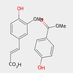 COC(=O)c1ccc(O)cc1.COc1cc(/C=C/C(=O)O)ccc1O